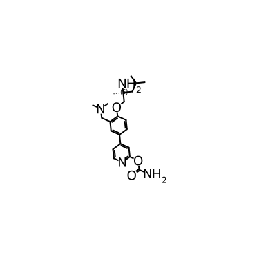 CC(C)C[C@](C)(N)COc1ccc(-c2ccnc(OC(N)=O)c2)cc1CN(C)C